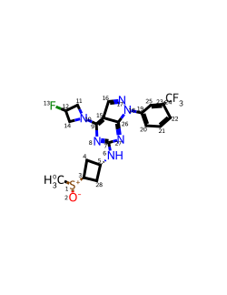 C[S+]([O-])[C@H]1C[C@H](Nc2nc(N3CC(F)C3)c3cnn(-c4cccc(C(F)(F)F)c4)c3n2)C1